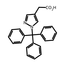 O=C(O)Cc1cnn(C(c2ccccc2)(c2ccccc2)c2ccccc2)c1